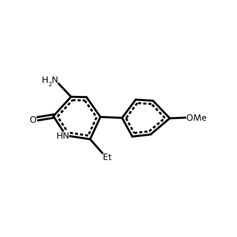 CCc1[nH]c(=O)c(N)cc1-c1ccc(OC)cc1